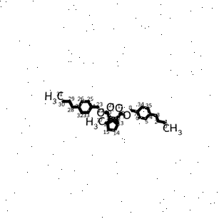 CCCCC1CCC(COC(=O)C2C3CCC(C)(C3)C2C(=O)OCC2CCC(CCCC)CC2)CC1